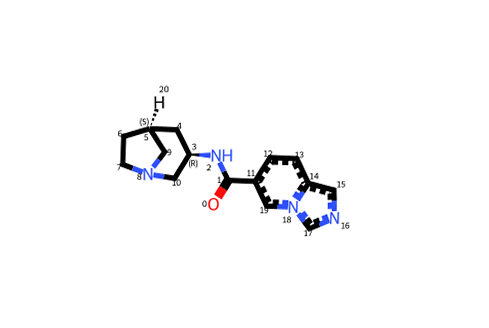 O=C(N[C@@H]1C[C@@H]2CCN(C2)C1)c1ccc2cncn2c1